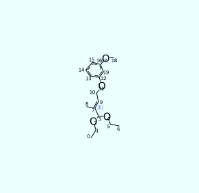 CCOC(OCC)/C(C)=C/COc1cccc(OC)c1